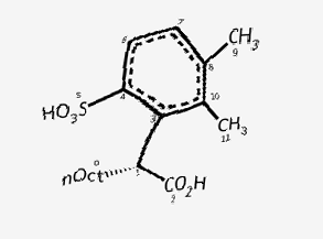 CCCCCCCC[C@@H](C(=O)O)c1c(S(=O)(=O)O)ccc(C)c1C